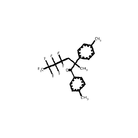 Cc1ccc(C(=O)C(C)(CC(F)(F)C(F)(F)C(F)(F)C(F)(F)F)c2ccc(C)cc2)cc1